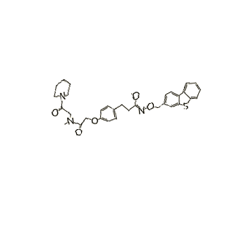 COC(CCc1ccc(OCC(=O)N(C)CC(=O)N2CCCCC2)cc1)=NOCc1ccc2c(c1)sc1ccccc12